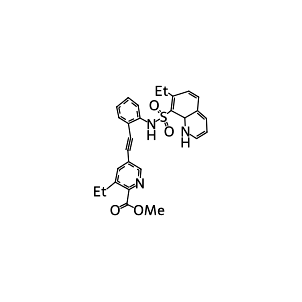 CCC1=C(S(=O)(=O)Nc2ccccc2C#Cc2cnc(C(=O)OC)c(CC)c2)C2NC=CC=C2C=C1